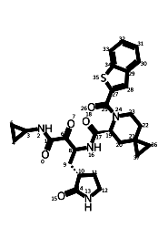 O=C(NC1CC1)C(=O)C(C[C@@H]1CCNC1=O)NC(=O)[C@@H]1CC2(CCN1C(=O)c1cc3ccccc3s1)CC2